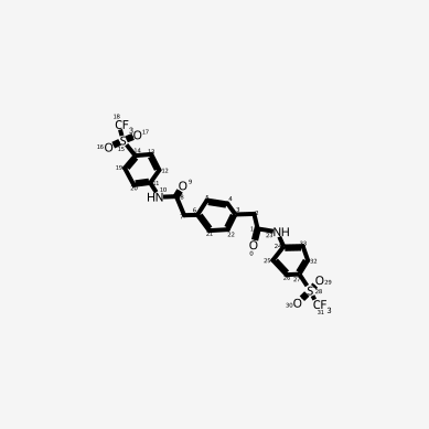 O=C(Cc1ccc(CC(=O)Nc2ccc(S(=O)(=O)C(F)(F)F)cc2)cc1)Nc1ccc(S(=O)(=O)C(F)(F)F)cc1